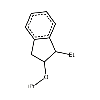 CCC1c2ccccc2CC1OC(C)C